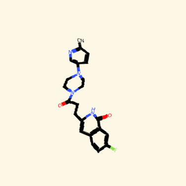 N#Cc1ccc(N2CCN(C(=O)CCc3cc4ccc(F)cc4c(=O)[nH]3)CC2)cn1